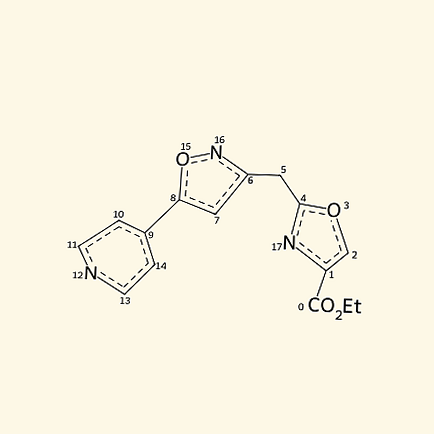 CCOC(=O)c1coc(Cc2cc(-c3ccncc3)on2)n1